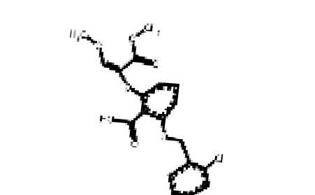 COC=C(Oc1cccc(OCc2ccccc2Cl)c1C(=O)O)C(=O)OC